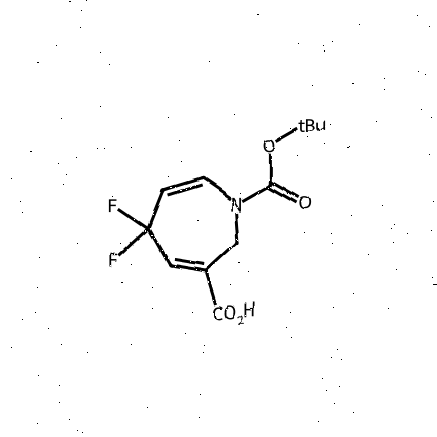 CC(C)(C)OC(=O)N1C=CC(F)(F)C=C(C(=O)O)C1